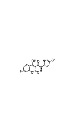 O=C(Nc1ccc(Br)cn1)c1c(O)c2ccc(F)cc2oc1=O